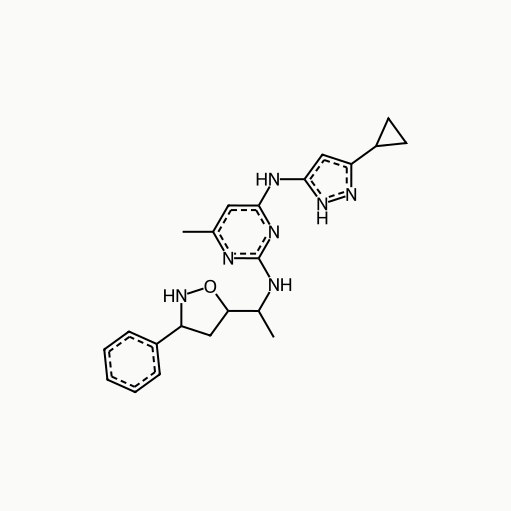 Cc1cc(Nc2cc(C3CC3)n[nH]2)nc(NC(C)C2CC(c3ccccc3)NO2)n1